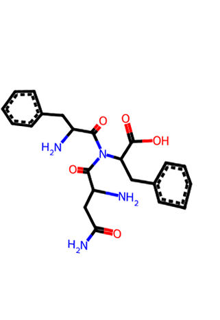 NC(=O)CC(N)C(=O)N(C(=O)C(N)Cc1ccccc1)C(Cc1ccccc1)C(=O)O